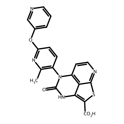 Cc1nc(Oc2cccnc2)ccc1N1C(=O)Nc2c(C(=O)O)sc3nccc1c23